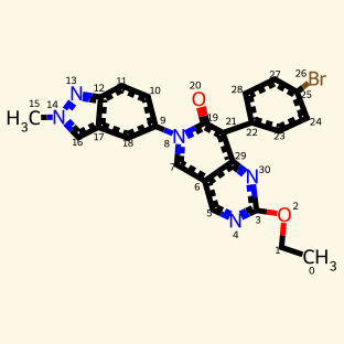 CCOc1ncc2cn(-c3ccc4nn(C)cc4c3)c(=O)c(-c3ccc(Br)cc3)c2n1